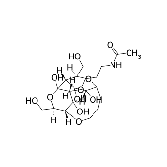 CC(=O)NCCCO[C@@H]1[C@@H](O)[C@@H]2OCCCC3O[C@H](CO)[C@H]([C@H](O)[C@H]3O)C1(O)O[C@@H]2CO